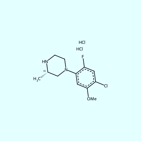 COc1cc(N2CCN[C@@H](C)C2)c(F)cc1Cl.Cl.Cl